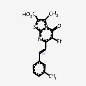 CCc1c(/C=C/c2cccc(C)c2)nc2sc(C(=O)O)c(C)n2c1=O